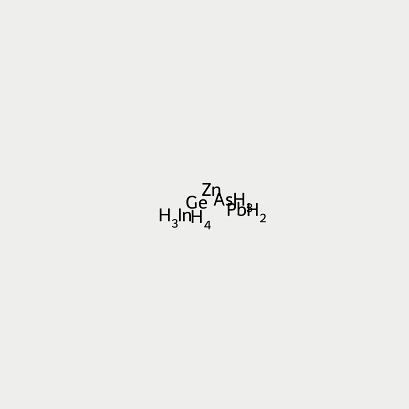 [AsH3].[GeH4].[InH3].[PbH2].[Zn]